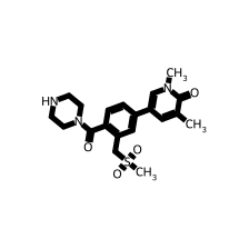 Cc1cc(-c2ccc(C(=O)N3CCNCC3)c(CS(C)(=O)=O)c2)cn(C)c1=O